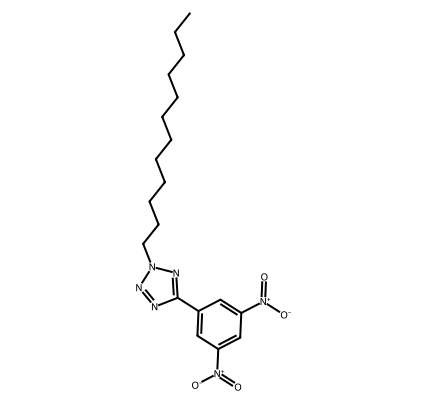 CCCCCCCCCCCCn1nnc(-c2cc([N+](=O)[O-])cc([N+](=O)[O-])c2)n1